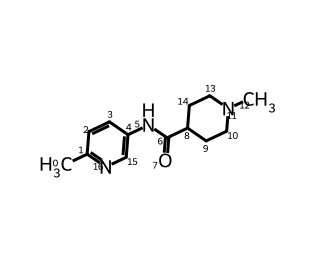 Cc1ccc(NC(=O)C2CCN(C)CC2)cn1